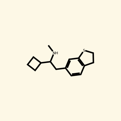 CNC(Cc1ccc2c(c1)SCC2)C1CCC1